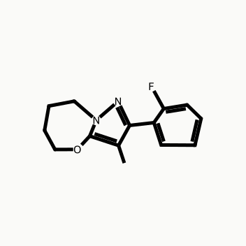 Cc1c(-c2ccccc2F)nn2c1OCCCC2